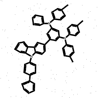 Cc1ccc(N(c2ccccc2)c2cc(-c3ccc4c(c3)c3ccccc3n4-c3ccc(-c4ccccc4)cc3)cc(N(c3ccc(C)cc3)c3ccc(C)cc3)c2)cc1